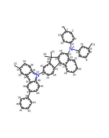 Cc1ccc(N(c2cccc(C)c2)c2cc3c(c4ccccc24)-c2ccc(-n4c5ccc(C)cc5c5cc(-c6ccccc6)ccc54)cc2C3(C)C)cc1